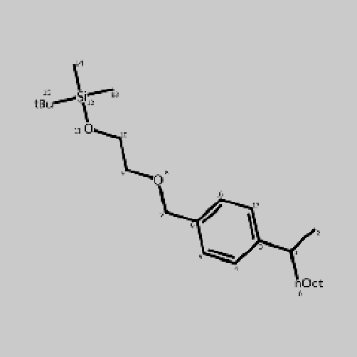 CCCCCCCCC(C)c1ccc(COCCO[Si](C)(C)C(C)(C)C)cc1